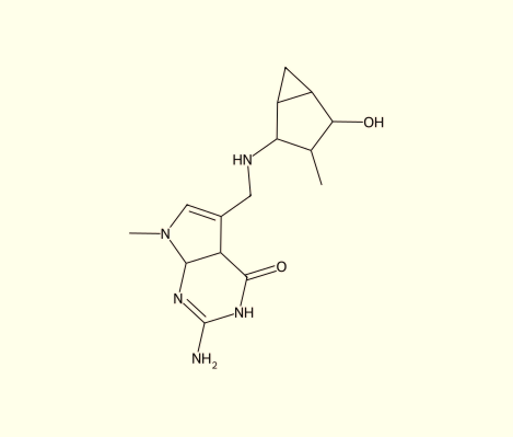 CC1C(O)C2CC2C1NCC1=CN(C)C2N=C(N)NC(=O)C12